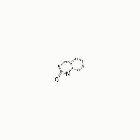 O=c1nc2ccccc2cs1